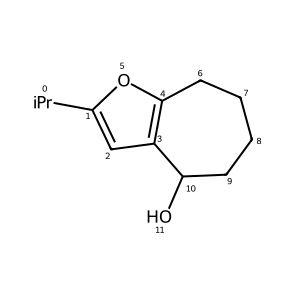 CC(C)c1cc2c(o1)CCCCC2O